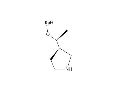 C[C@H]([O][RaH])[C@@H]1CCNC1